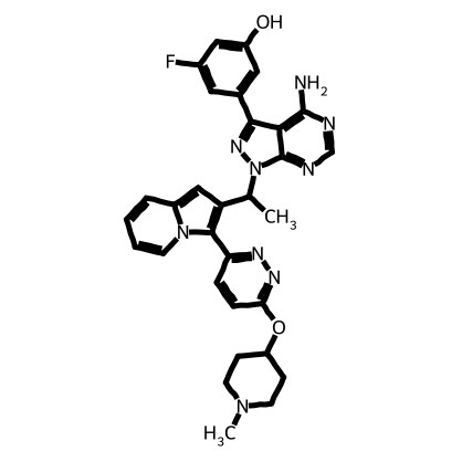 CC(c1cc2ccccn2c1-c1ccc(OC2CCN(C)CC2)nn1)n1nc(-c2cc(O)cc(F)c2)c2c(N)ncnc21